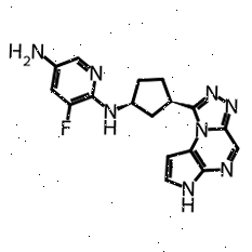 Nc1cnc(N[C@H]2CC[C@@H](c3nnc4cnc5[nH]ccc5n34)C2)c(F)c1